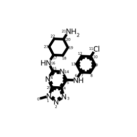 Cn1nnc2c(Nc3ccc(Cl)cc3)nc(NC3CCC(N)CC3)nc21